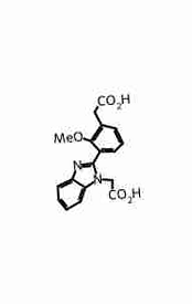 COc1c(CC(=O)O)cccc1-c1nc2ccccc2n1CC(=O)O